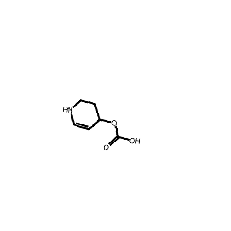 O=C(O)OC1C=CNCC1